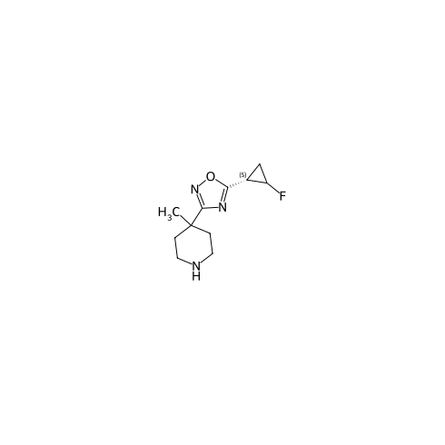 CC1(c2noc([C@@H]3CC3F)n2)CCNCC1